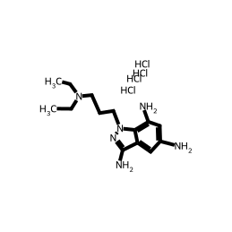 CCN(CC)CCCn1nc(N)c2cc(N)cc(N)c21.Cl.Cl.Cl.Cl